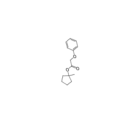 CC1(OC(=O)COc2ccccc2)CCCC1